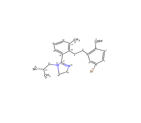 COc1ccc(Br)cc1CCc1c(C)cccc1C1=NCCN1CC(C)C#N